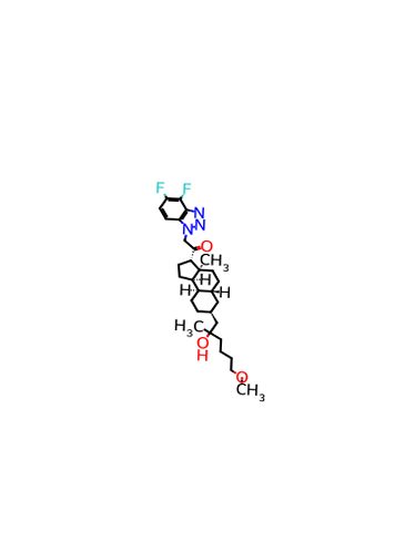 COCCCCC(C)(O)C[C@H]1CC[C@@H]2[C@H](CC[C@]3(C)[C@@H](C(=O)Cn4nnc5c(F)c(F)ccc54)CC[C@H]23)C1